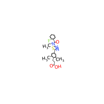 CCN(C(=O)c1ccccc1F)c1nnc(-c2cc(C)c(CCC(=O)O)c(C)c2)s1